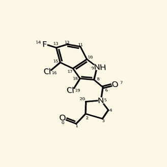 O=CC1CCN(C(=O)c2[nH]c3ccc(F)c(Cl)c3c2Cl)C1